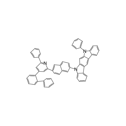 c1ccc(-c2cc(-c3ccccc3-c3ccccc3)cc(-c3ccc4cc(-n5c6ccccc6c6cc7c8ccccc8n(-c8ccccc8)c7cc65)ccc4c3)n2)cc1